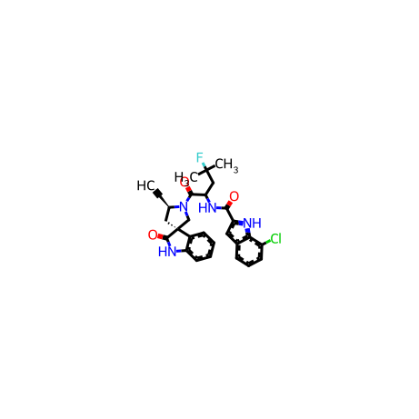 C#C[C@@H]1C[C@@]2(CN1C(=O)C(CC(C)(C)F)NC(=O)c1cc3cccc(Cl)c3[nH]1)C(=O)Nc1ccccc12